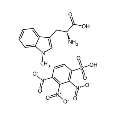 Cn1cc(C[C@H](N)C(=O)O)c2ccccc21.O=[N+]([O-])c1ccc(S(=O)(=O)O)c([N+](=O)[O-])c1[N+](=O)[O-]